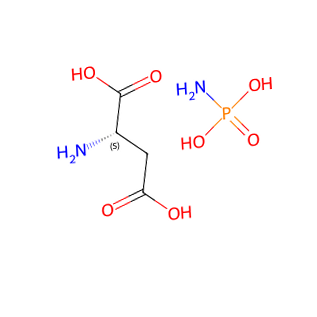 NP(=O)(O)O.N[C@@H](CC(=O)O)C(=O)O